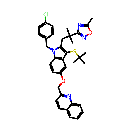 Cc1nc(C(C)(C)Cc2c(SC(C)(C)C)c3cc(OCc4ccc5ccccc5n4)ccc3n2Cc2ccc(Cl)cc2)no1